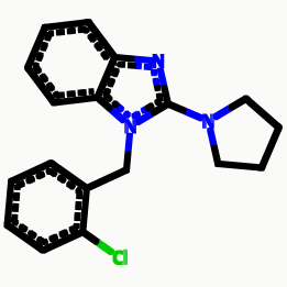 Clc1ccccc1Cn1c(N2CCCC2)nc2ccccc21